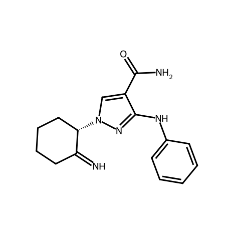 N=C1CCCC[C@@H]1n1cc(C(N)=O)c(Nc2ccccc2)n1